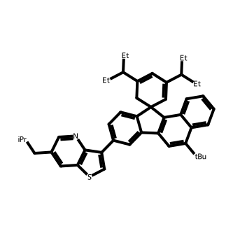 CCC(CC)C1=CC2(CC(C(CC)CC)=C1)c1ccc(-c3csc4cc(CC(C)C)cnc34)cc1-c1cc(C(C)(C)C)c3ccccc3c12